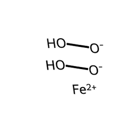 [Fe+2].[O-]O.[O-]O